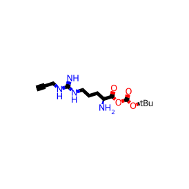 C#CCNC(=N)NCCC[C@H](N)C(=O)OC(=O)OC(C)(C)C